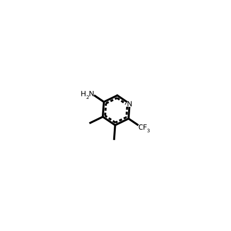 Cc1c(N)cnc(C(F)(F)F)c1C